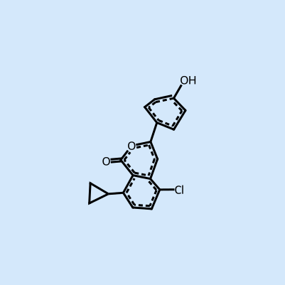 O=c1oc(-c2ccc(O)cc2)cc2c(Cl)ccc(C3CC3)c12